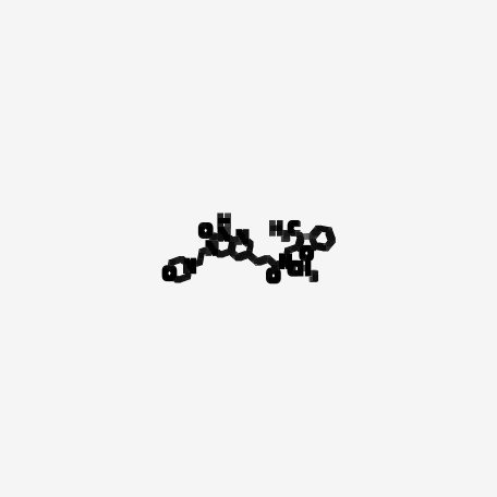 Cc1c(CN(C)C(=O)/C=C/c2cnc3c(c2)CN(CCN2CCOCC2)C(=O)N3)oc2ccccc12